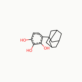 Oc1ccc(C23CC4CC(CC(C4)C2)C3)c(O)c1O